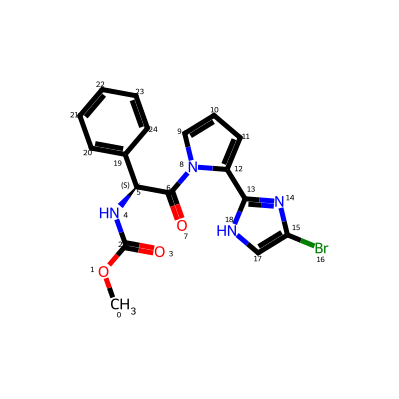 COC(=O)N[C@H](C(=O)n1cccc1-c1nc(Br)c[nH]1)c1ccccc1